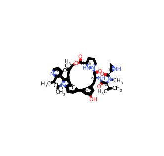 CCn1c(-c2cccnc2C(C)C)c2c3cc(ccc31)-c1cc(O)cc(c1)C[C@H](NC(=O)[C@H](C(C)C)N(C)C(=O)[C@@H]1CN1)C(=O)N1CCC[C@H](N1)C(=O)OCC(C)(C)C2